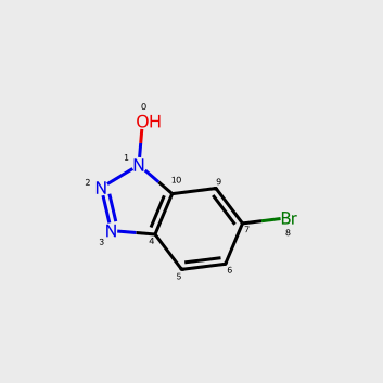 On1nnc2ccc(Br)cc21